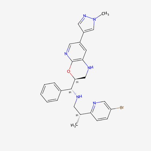 C[C@H](CN[C@H](c1ccccc1)[C@@H]1CNc2cc(-c3cnn(C)c3)cnc2O1)c1ccc(Br)cn1